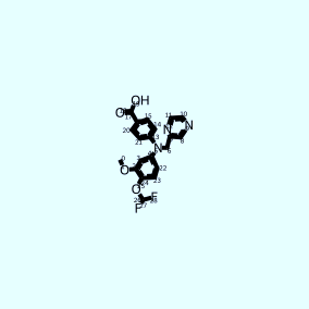 COc1cc(N(Cc2cnccn2)c2ccc(C(=O)O)cc2)ccc1OC(F)F